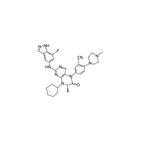 C[C@@H]1C(=O)N(c2ccc(N3CCN(C)CC3)c(C#N)c2)c2cnc(Nc3cc(F)c4[nH]ncc4c3)nc2N1C1CCCCC1